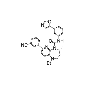 CCN1CC[C@@H](C)N(C(=O)Nc2cccc(-c3cnco3)c2)c2nc(-c3cccc(C#N)c3)ccc21